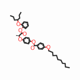 CCCCCCCCCCOc1ccc(C(=O)Oc2ccc(O[C@@H](C)C(=O)Oc3ccccc3OC(CCC)CCC)cc2)cc1